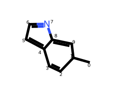 CC1C=CC2=CC=NC2=C1